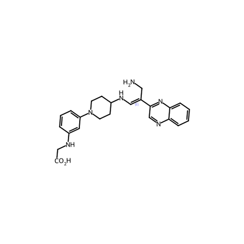 NC/C(=C\NC1CCN(c2cccc(NCC(=O)O)c2)CC1)c1cnc2ccccc2n1